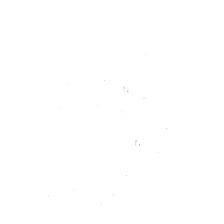 c1ccc(-c2ccc(N(c3ccc(-c4ccccc4)cc3)c3ccc(-c4ccccc4-n4c5ccccc5c5cc(-c6cccc(-c7ccccc7)c6)ccc54)cc3)cc2)cc1